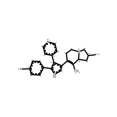 CC1=C(c2c[nH]c(-c3ccc(F)cc3)c2-c2ccncc2)CCN2CC(F)CC12